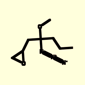 CCCC(CC1CO1)(N=[N+]=[N-])OC